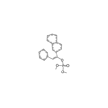 COP(=O)(OC)OC(=Cc1ccccc1)c1ccc2ccccc2c1